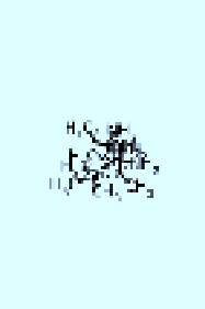 CCC(N)(N)[Si](C)(O[Si](C)(C)C)C(N)(N)CC